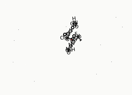 O=c1[nH]c(-c2ccc(N3CCC(OCc4c(-c5c(F)ccc(C6CC6c6onc(-c7c(Cl)cccc7Cl)c6COC6CCN(c7ccc(-n8c(=O)cn[nH]c8=O)cc7)CC6)c5F)noc4C4CC4)C(F)(F)C3)nc2)no1